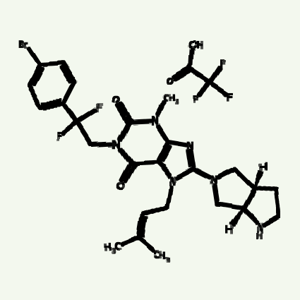 CC(C)=CCn1c(N2C[C@@H]3CCN[C@@H]3C2)nc2c1c(=O)n(CC(F)(F)c1ccc(Br)cc1)c(=O)n2C.O=C(O)C(F)(F)F